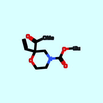 C=CC1(C(=O)OC)CN(C(=O)OC(C)(C)C)CCO1